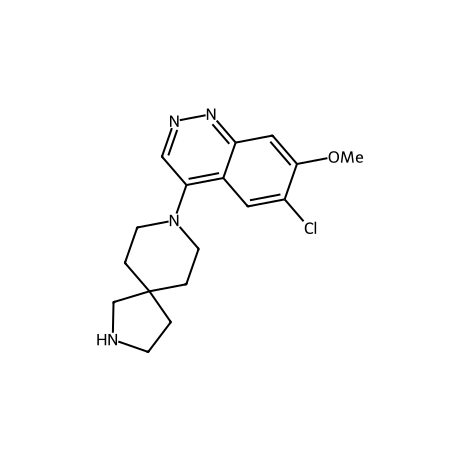 COc1cc2nncc(N3CCC4(CCNC4)CC3)c2cc1Cl